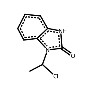 CC(Cl)n1c(=O)[nH]c2ccccc21